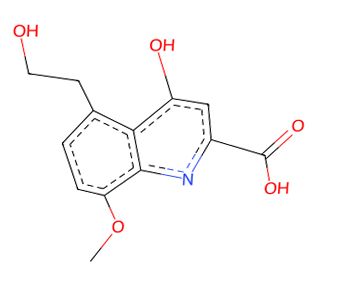 COc1ccc(CCO)c2c(O)cc(C(=O)O)nc12